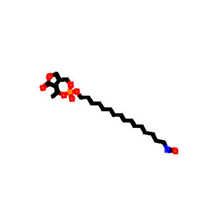 CC1=C2C(=O)OCC2COP(=O)(OCCCCCCCCCCCCCCCCN=O)O1